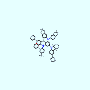 CC1(C)Cc2ccc(N3c4cc5c(cc4B4c6cc(-c7ccccc7)ccc6N(c6ccc(C(C)(C)C)cc6-c6ccccc6)c6cc(N7c8ccc(-c9ccccc9)cc8C8(C)CCCCC78C)cc3c64)CC(C)(C)C5)cc2C1